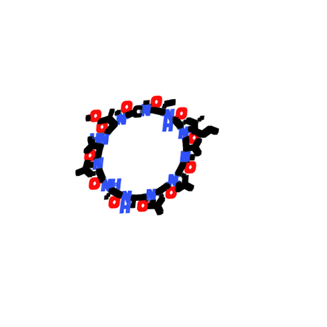 C/C=C/C[C@@H](C)C[C@H]1C(=O)N[C@@H](CC)C(=O)N(C)CC(=O)N(C)[C@@H]([C@H](C)COC)C(=O)NC(C(C)C)C(=O)N(C)[C@@H](CC(C)C)C(=O)N[C@@H](C)C(=O)N[C@H](C)C(=O)N(C)[C@@H](CC(C)C)C(=O)N(C)[C@@H](CC(C)C)C(=O)N(C)C(C(C)C)C(=O)N1C